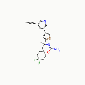 CC#Cc1cncc(-c2csc(C3(C)CC4(CCC(F)(F)CC4)OC(N)=N3)c2)c1